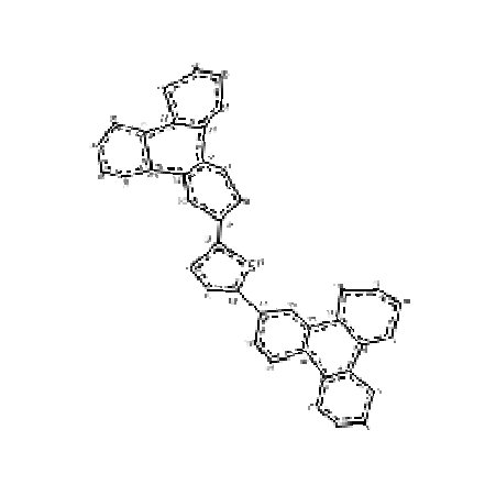 c1ccc2c(c1)c1ccccc1c1cc(-c3ccc(-c4ccc5c6ccccc6c6ccccc6c5c4)s3)ccc21